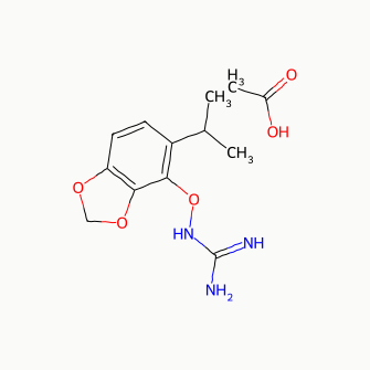 CC(=O)O.CC(C)c1ccc2c(c1ONC(=N)N)OCO2